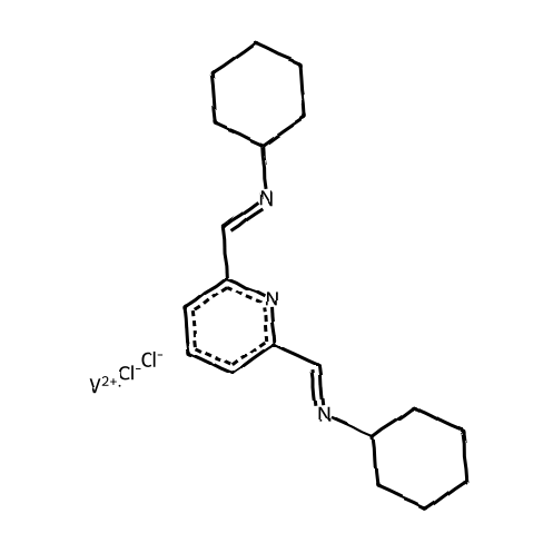 C(=NC1CCCCC1)c1cccc(C=NC2CCCCC2)n1.[Cl-].[Cl-].[V+2]